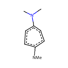 CNc1ccc(N(C)C)cc1